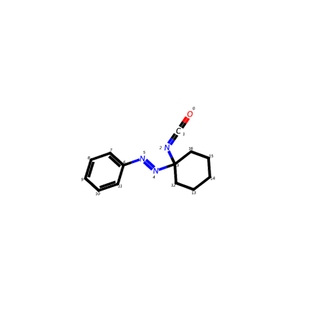 O=C=NC1(N=Nc2ccccc2)CCCCC1